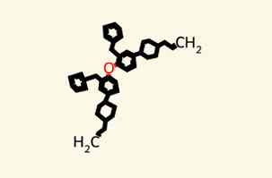 C=CCC1CCC(c2ccc(Oc3ccc(C4CCC(CC=C)CC4)cc3Cc3ccccc3)c(Cc3ccccc3)c2)CC1